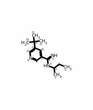 CCC(C)NC(=N)c1cncc(C(C)(C)C)c1